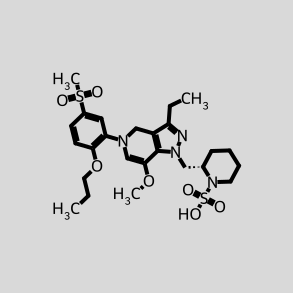 CCCOc1ccc(S(C)(=O)=O)cc1N1C=C(OC)c2c(c(CC)nn2C[C@@H]2CCCCN2S(=O)(=O)O)C1